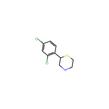 Clc1ccc(C2C[N]CCS2)c(Cl)c1